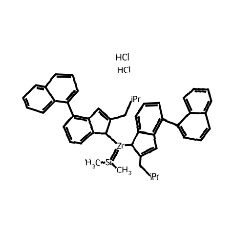 CC(C)CC1=Cc2c(-c3cccc4ccccc34)cccc2[CH]1[Zr]([CH]1C(CC(C)C)=Cc2c(-c3cccc4ccccc34)cccc21)=[Si](C)C.Cl.Cl